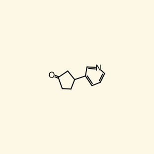 O=C1CCC(c2cccnc2)C1